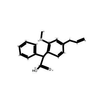 C=CCc1ccc(C(C(=O)O)c2ccccc2)c(OC)c1